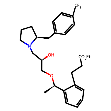 CCOC(=O)CCc1ccccc1[C@@H](C)OC[C@H](O)CN1CCC[C@H]1Cc1ccc(C(F)(F)F)cc1